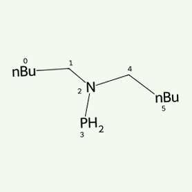 CCCCCN(P)CCCCC